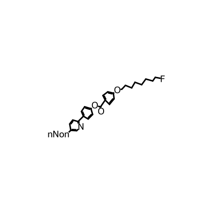 CCCCCCCCCc1ccc(-c2ccc(OC(=O)c3ccc(OCCCCCCCCF)cc3)cc2)nc1